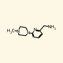 CN1CCN(c2cccc(CN)n2)CC1